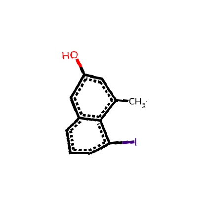 [CH2]c1cc(O)cc2cccc(I)c12